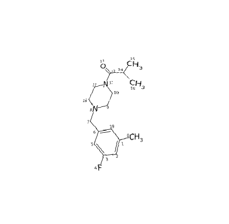 Cc1cc(F)cc(CN2CCN(C(=O)C(C)C)CC2)c1